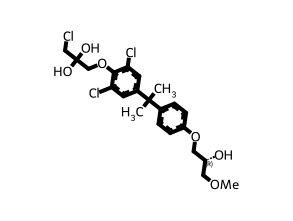 COC[C@@H](O)COc1ccc(C(C)(C)c2cc(Cl)c(OCC(O)(O)CCl)c(Cl)c2)cc1